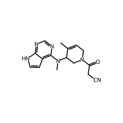 CC1=CCN(C(=O)CC#N)CC1N(C)c1ncnc2[nH]ccc12